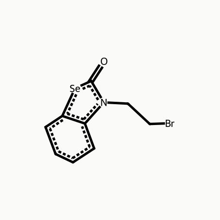 O=c1[se]c2ccccc2n1CCBr